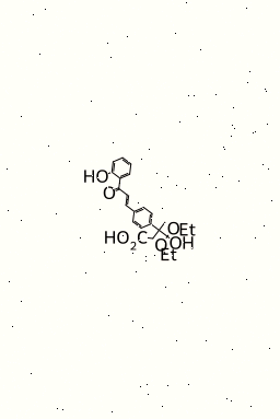 CCOC(O)(OCC)C(C)(CC(=O)O)c1ccc(C=CC(=O)c2ccccc2O)cc1